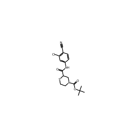 CC(C)(C)OC(=O)N1CCSC(C(=O)Nc2ccc(C#N)c(Cl)c2)C1